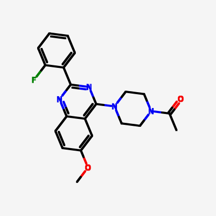 COc1ccc2nc(-c3ccccc3F)nc(N3CCN(C(C)=O)CC3)c2c1